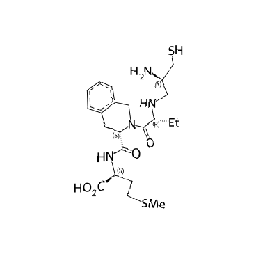 CC[C@@H](NC[C@@H](N)CS)C(=O)N1Cc2ccccc2C[C@H]1C(=O)N[C@@H](CCSC)C(=O)O